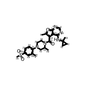 Cc1oc2ncnc(NC3(C)CC3)c2c1C(=O)N1CCN(c2ccc(S(C)(=O)=O)cc2F)CC1C